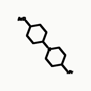 CCCC1CCN(C2CCC(OC(C)=O)CC2)CC1